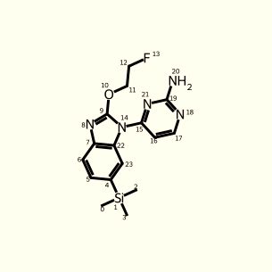 C[Si](C)(C)c1ccc2nc(OCCF)n(-c3ccnc(N)n3)c2c1